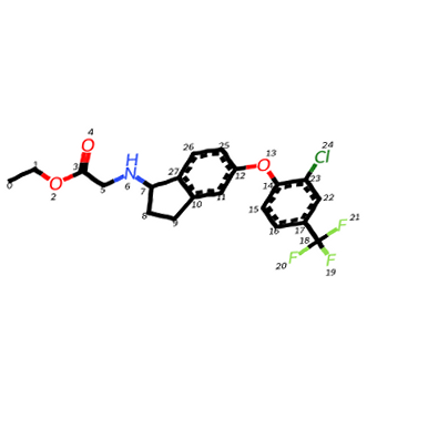 CCOC(=O)CNC1CCc2cc(Oc3ccc(C(F)(F)F)cc3Cl)ccc21